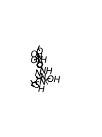 CCOC(=O)/N=[SH](=O)/c1ccc(Nc2ncc(-c3sccc3C)c(N[C@H](C)CO)n2)cc1